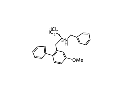 COc1ccc(-c2ccccc2)c(C[C@H](NCc2ccccc2)C(=O)O)c1.Cl